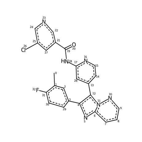 Cc1cc(-c2nc3cccnn3c2-c2ccnc(NC(=O)c3cncc(Cl)c3)c2)ccc1F